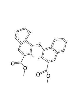 COC(=O)c1cc2ccccc2c(Sc2c(C)c(C(=O)OC)cc3ccccc23)c1C